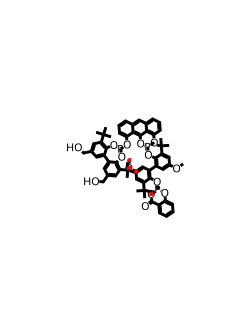 COc1cc(-c2cc(OC)cc(C(C)(C)C)c2OP2Oc3cccc4cc5cccc(Op6oc7c(C(C)(C)C)cc(CO)cc7c7cc(CO)cc(C(C)(C)C)c7o6)c5c(c34)O2)c(OP2OC(=O)c3ccccc3O2)c(C(C)(C)C)c1